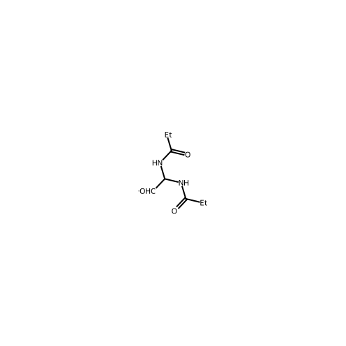 CCC(=O)NC([C]=O)NC(=O)CC